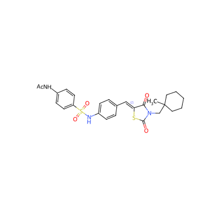 CC(=O)Nc1ccc(S(=O)(=O)Nc2ccc(/C=C3\SC(=O)N(CC4(C)CCCCC4)C3=O)cc2)cc1